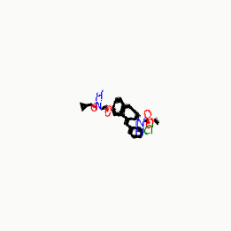 CCOC(=O)NC1CCc2ccc(OCCNOCC3CC3)cc2C1Cc1cccc(Cl)c1